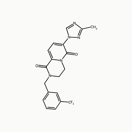 Cc1ncn(-c2ccc3n(c2=O)CCN(Cc2cccc(C(F)(F)F)c2)C3=O)n1